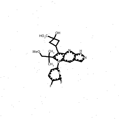 COCC(C)(C)c1c(C2CC(O)(C(=O)O)C2)c2nc3[nH]ncc3cc2n1-c1ccc(F)c(F)c1